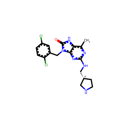 Cc1nc(NC[C@@H]2CCNC2)nc2c1[nH]c(=O)n2Cc1cc(Cl)ccc1Cl